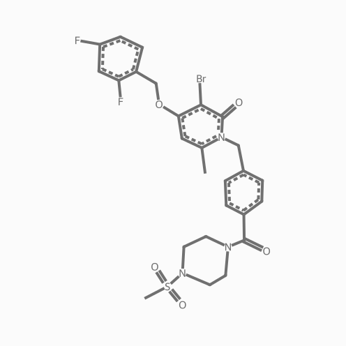 Cc1cc(OCc2ccc(F)cc2F)c(Br)c(=O)n1Cc1ccc(C(=O)N2CCN(S(C)(=O)=O)CC2)cc1